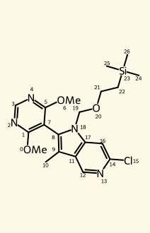 COc1ncnc(OC)c1-c1c(C)c2cnc(Cl)cc2n1COCC[Si](C)(C)C